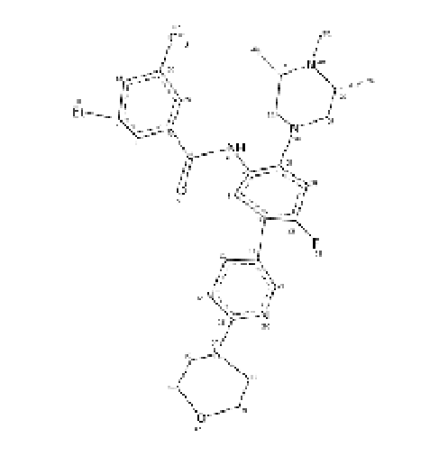 CCc1cc(C(=O)Nc2cc(-c3cnc(N4CCOCC4)nc3)c(F)cc2N2C[C@@H](C)N(C)[C@@H](C)C2)cc(C(F)(F)F)c1